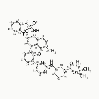 Cc1ccc2c(NS(=O)(=O)Cc3ccccc3F)cccc2c1Oc1ncccc1-c1ccnc(NC2CCCN(C(=O)OC(C)(C)C)C2)n1